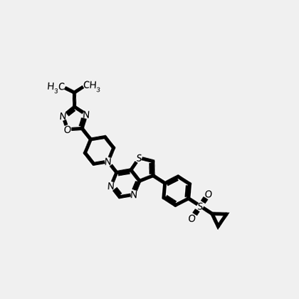 CC(C)c1noc(C2CCN(c3ncnc4c(-c5ccc(S(=O)(=O)C6CC6)cc5)csc34)CC2)n1